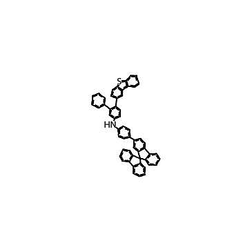 c1ccc(-c2cc(Nc3ccc(-c4ccc5c(c4)C4(c6ccccc6-c6ccccc64)c4ccccc4-5)cc3)ccc2-c2ccc3sc4ccccc4c3c2)cc1